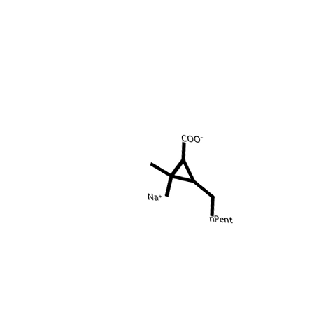 CCCCCCC1C(C(=O)[O-])C1(C)C.[Na+]